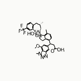 COc1cc(C(CC(=O)O)c2ccc(C)c3c2CCC3N2C[C@@H](C)Cc3ccc(C(F)(F)F)cc3S2(O)O)cc2nnn(C)c12